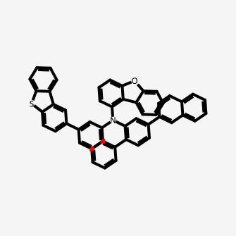 c1ccc(-c2ccc(-c3ccc4ccccc4c3)cc2N(c2cccc(-c3ccc4sc5ccccc5c4c3)c2)c2cccc3oc4ccccc4c23)cc1